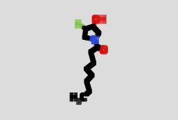 CCCCCCCC(=O)N1C[C@@H](O)[C@H](F)C1